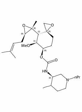 CCCN1CCC(C)[C@@H](NC(=O)O[C@@H]2CC[C@]3(CO3)[C@@H]([C@@]3(C)O[C@@H]3CC=C(C)C)[C@@H]2OC)C1